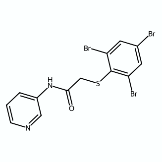 O=C(CSc1c(Br)cc(Br)cc1Br)Nc1cccnc1